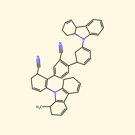 CC1CC=Cc2c3c(n(C4=C(c5ccc(C6C=CC=C(N7c8ccccc8C8C=CCCC87)C6)c(C#N)c5)C(C#N)CC=C4)c21)CCC=C3